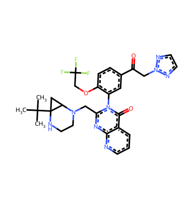 CC(C)(C)C12CC1N(Cc1nc3ncccc3c(=O)n1-c1cc(C(=O)Cn3nccn3)ccc1OCC(F)(F)F)CCN2